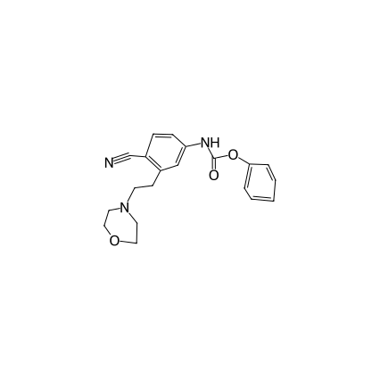 N#Cc1ccc(NC(=O)Oc2ccccc2)cc1CCN1CCOCC1